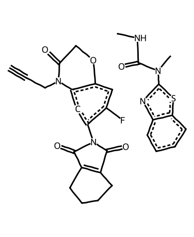 C#CCN1C(=O)COc2cc(F)c(N3C(=O)C4=C(CCCC4)C3=O)cc21.CNC(=O)N(C)c1nc2ccccc2s1